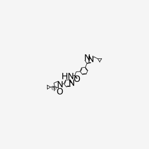 C[C@@]1(C2CC2)CCN(c2ccnc(NC(=O)Cc3cccc(-c4cnn(CC5CC5)c4)c3)c2)C1=O